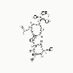 C=Cc1cc(S(=O)(=O)C(F)(F)F)ccc1Oc1cc(F)cc(Cl)c1